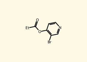 CCC(=O)Oc1ccncc1Br